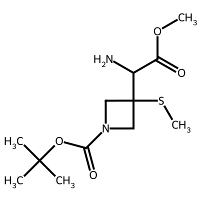 COC(=O)C(N)C1(SC)CN(C(=O)OC(C)(C)C)C1